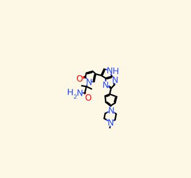 CN1CCN(c2ccc(-c3cnc4[nH]cc(-c5ccc(=O)n(C(C)(C)C(N)=O)c5)c4n3)cc2)CC1